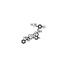 Cc1ccn(NCc2nc(-c3ccccc3)[nH]c2Cl)c(=O)c1CC(=O)NCc1cc(Cl)ccc1CN